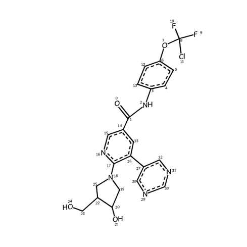 O=C(Nc1ccc(OC(F)(F)Cl)cc1)c1cnc(N2CC(O)C(CO)C2)c(-c2cncnc2)c1